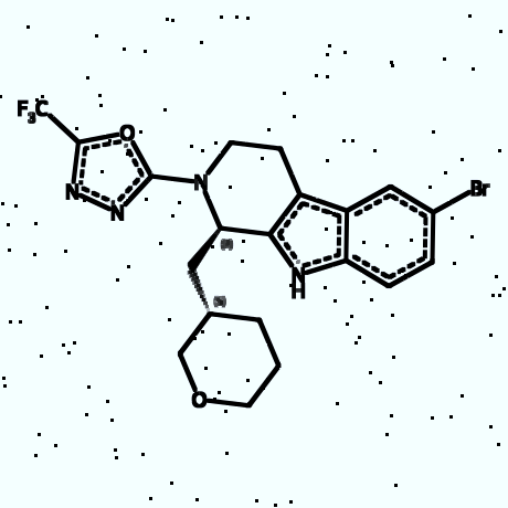 FC(F)(F)c1nnc(N2CCc3c([nH]c4ccc(Br)cc34)[C@H]2C[C@@H]2CCCOC2)o1